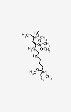 CCN(C=C([SiH2]CNCCC[Si](C)(OC)OC)[Si](C)(OC)OC)CC